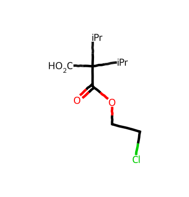 CC(C)C(C(=O)O)(C(=O)OCCCl)C(C)C